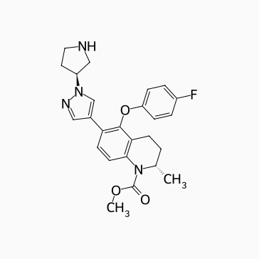 COC(=O)N1c2ccc(-c3cnn([C@H]4CCNC4)c3)c(Oc3ccc(F)cc3)c2CC[C@@H]1C